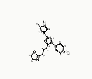 Cc1nc(-c2nc(-c3ccc(Cl)cc3)c(CCCC3=NCCO3)o2)c[nH]1